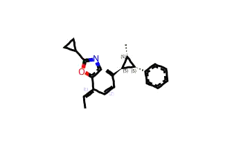 C=C(/C=C\C(=C/C)c1cnc(C2CC2)o1)[C@H]1[C@H](C)[C@@H]1c1ccccc1